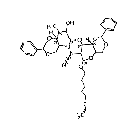 C=CCCCCCCO[C@@H]1OC2COC(c3ccccc3)O[C@H]2[C@H](O[C@@H]2OC3COC(c4ccccc4)O[C@@H]3[C@H](C)C2O)C1N=[N+]=[N-]